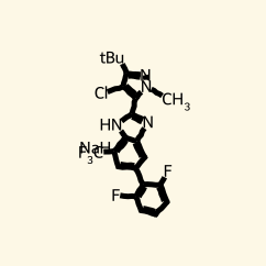 Cn1nc(C(C)(C)C)c(Cl)c1-c1nc2cc(-c3c(F)cccc3F)cc(C(F)(F)F)c2[nH]1.[NaH]